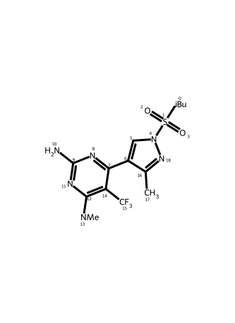 CCC(C)S(=O)(=O)n1cc(-c2nc(N)nc(NC)c2C(F)(F)F)c(C)n1